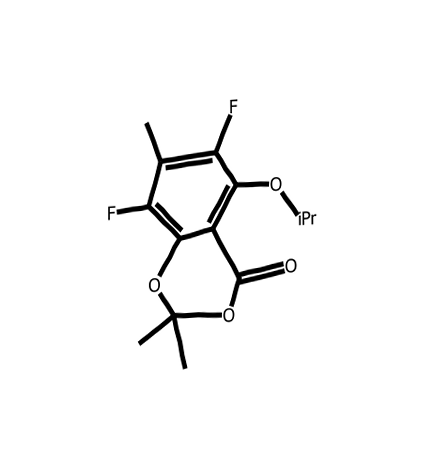 Cc1c(F)c(OC(C)C)c2c(c1F)OC(C)(C)OC2=O